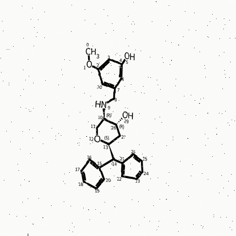 COc1cc(O)cc(CN[C@@H]2CO[C@H](C(c3ccccc3)c3ccccc3)C[C@H]2O)c1